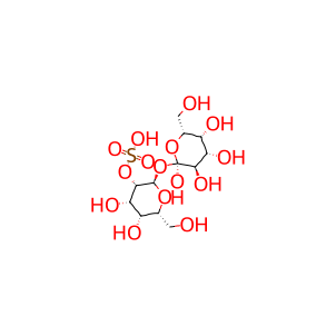 O=S(=O)(O)O[C@@H]1[C@@H](O[C@@]2(O)O[C@H](CO)[C@H](O)[C@H](O)[C@H]2O)O[C@H](CO)[C@H](O)[C@@H]1O